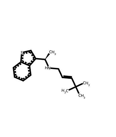 C[C@@H](NC/C=C/C(C)(C)C)c1csc2ccccc12